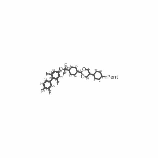 CCCCCC1CCC(C2COC(C3CCC(C(F)(F)Oc4cc(F)c(-c5ccc(F)c(F)c5)c(F)c4)CC3)OC2)CC1